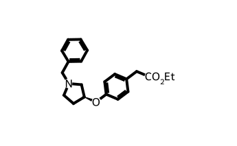 CCOC(=O)Cc1ccc(O[C@H]2CCN(Cc3ccccc3)C2)cc1